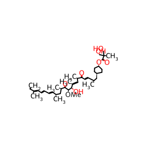 C=C/C(C)=C/C=C/C=C/[C@@H](C)C[C@@H](C)C(=O)[C@H](OC)[C@H](O)/C(C)=C/[C@@H](C)C(=O)/C=C/[C@H](C)C[C@H]1CC[C@H](OC(=O)C(C)(CO)CO)CC1